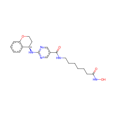 O=C(CCCCCCNC(=O)c1cnc(N[C@@H]2CCOc3ccccc32)nc1)NO